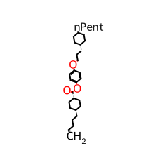 C=CCCC[C@H]1CC[C@H](C(=O)Oc2ccc(OCCC[C@H]3CC[C@H](CCCCC)CC3)cc2)CC1